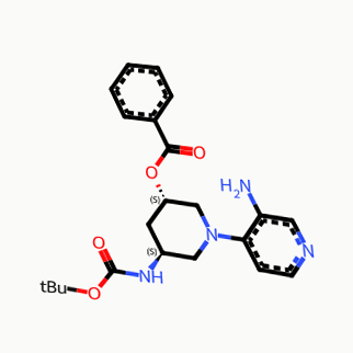 CC(C)(C)OC(=O)N[C@H]1C[C@H](OC(=O)c2ccccc2)CN(c2ccncc2N)C1